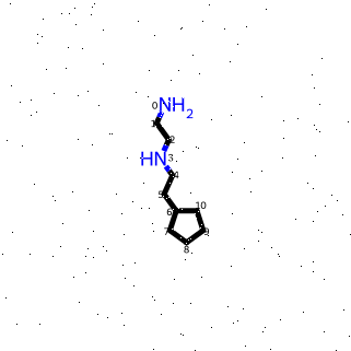 NCCNCCC1CCCC1